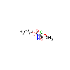 CCCCOC(=O)NC(Cl)C(=O)OC